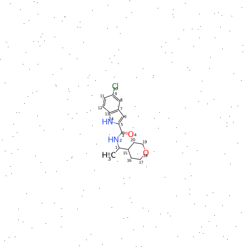 CC(NC(=O)c1cc2cc(Cl)ccc2[nH]1)C1CCOCC1